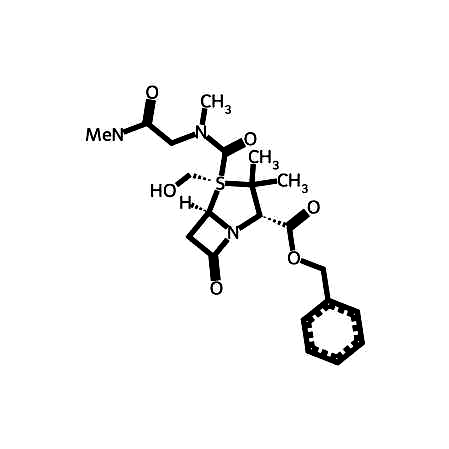 CNC(=O)CN(C)C(=O)[S@]1(CO)[C@@H]2CC(=O)N2[C@@H](C(=O)OCc2ccccc2)C1(C)C